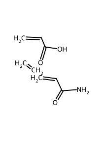 C=C.C=CC(=O)O.C=CC(N)=O